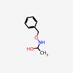 CC(O)NOCc1ccccc1